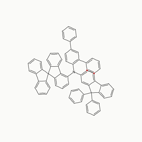 c1ccc(-c2ccc(N(c3ccc4c(c3)C(c3ccccc3)(c3ccccc3)c3ccccc3-4)c3cccc4c3-c3ccccc3C43c4ccccc4-c4ccccc43)c(-c3ccccc3)c2)cc1